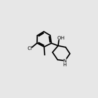 Cc1c(Cl)cccc1C1(O)CCNCC1